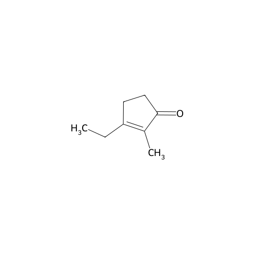 CCC1=C(C)C(=O)CC1